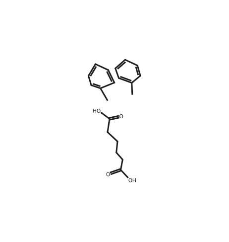 Cc1ccccc1.Cc1ccccc1.O=C(O)CCCCC(=O)O